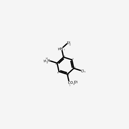 CCNc1cc(Cl)c(C(=O)OCC)cc1N